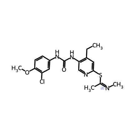 CCc1cc(S/C(C)=N\C)ncc1NC(=O)Nc1ccc(OC)c(Cl)c1